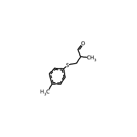 Cc1ccc(SCC(C)C=O)cc1